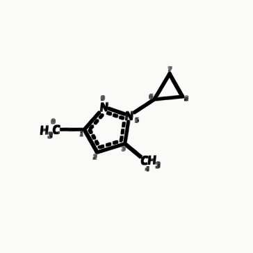 Cc1cc(C)n(C2CC2)n1